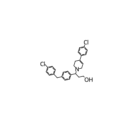 OCCC(c1ccc(Cc2ccc(Cl)cc2)cc1)N1CC=C(c2ccc(Cl)cc2)CC1